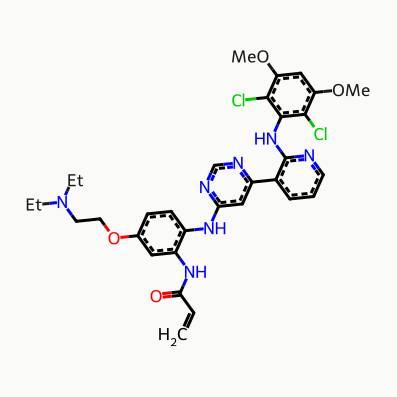 C=CC(=O)Nc1cc(OCCN(CC)CC)ccc1Nc1cc(-c2cccnc2Nc2c(Cl)c(OC)cc(OC)c2Cl)ncn1